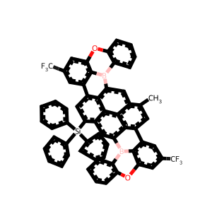 Cc1cc2c3c(cc4c([Si](c5ccccc5)(c5ccccc5)c5ccccc5)cc5c6c(cc1c3c46)B1c3ccccc3Oc3cc(C(F)(F)F)cc-5c31)B1c3ccccc3Oc3cc(C(F)(F)F)cc-2c31